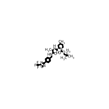 C[C@H]1CCN(C(=O)OCC(C)(C)C)[C@@H](C(=O)N[C@@H](C)C(=O)NCc2ccc(-c3noc(C(F)(F)F)n3)cc2)C1